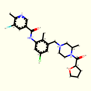 Cc1ncc(C(=O)Nc2cc(Cl)cc(CN3CCN(C(=O)C4CCCO4)C(C)C3)c2C)cc1F